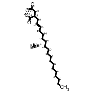 CCCCCCCCCCCCCCCCC=CCC(CC(=O)[O-])C(=O)[O-].[Na+].[Na+]